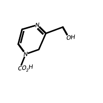 O=C(O)N1C=CN=C(CO)C1